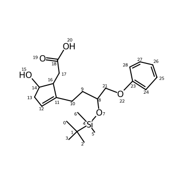 CC(C)(C)[Si](C)(C)OC(CCC1=CCC(O)C1CC(=O)O)COc1ccccc1